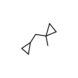 [CH2]C1(CC2CC2)CC1